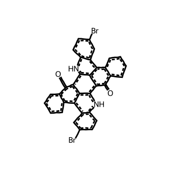 O=c1c2ccccc2c2c3cc(Br)ccc3[nH]c3c4c(=O)c5ccccc5c5c6cc(Br)ccc6[nH]c(c1c32)c45